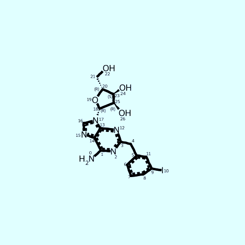 Nc1nc(Cc2cccc(I)c2)nc2c1ncn2[C@@H]1O[C@H](CO)[C@@H](O)[C@H]1O